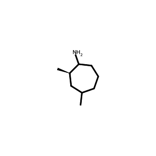 CC1CCCC(N)[C@H](C)C1